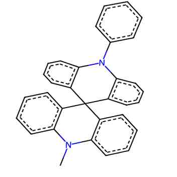 CN1c2ccccc2C2(c3ccccc31)c1ccccc1N(c1ccccc1)c1ccccc12